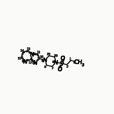 CCCS(=O)(=O)N1CCN(c2cn3cccnc3n2)CC1